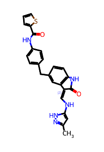 Cc1cc(N/C=C2\C(=O)Nc3ccc(Cc4ccc(NC(=O)c5cccs5)cc4)cc32)[nH]n1